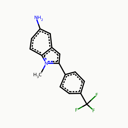 Cn1c(-c2ccc(C(F)(F)F)cc2)cc2cc(N)ccc21